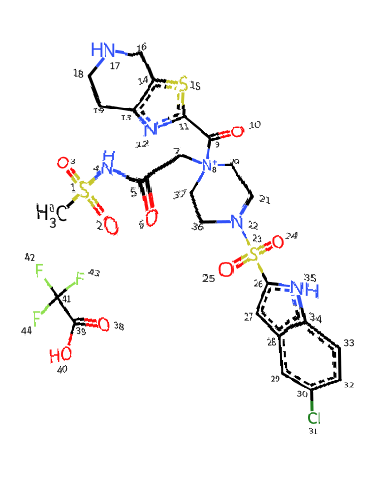 CS(=O)(=O)NC(=O)C[N+]1(C(=O)c2nc3c(s2)CNCC3)CCN(S(=O)(=O)c2cc3cc(Cl)ccc3[nH]2)CC1.O=C(O)C(F)(F)F